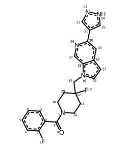 O=C(c1ccccc1F)N1CCC(F)(Cn2ccc3cc(-c4cn[nH]c4)ncc32)CC1